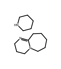 C1CCC2=NCCCN2CC1.C1CCNCC1